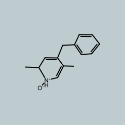 CC1=C[NH+]([O-])C(C)C=C1Cc1ccccc1